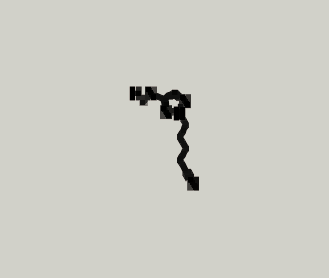 N#CCCCCn1ncc(N)n1